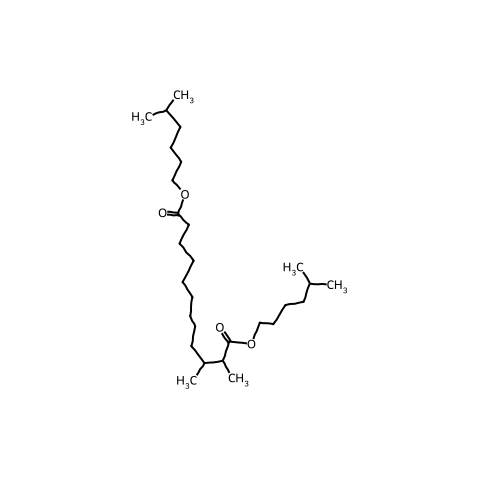 CC(C)CCCCOC(=O)CCCCCCCCC(C)C(C)C(=O)OCCCCC(C)C